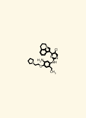 CCc1cc(OCCN2CCCC2)c(N)cc1Nc1ncc(Cl)c(-c2cn3c4c(cccc24)CCC3)n1